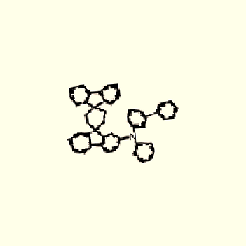 c1ccc(-c2cccc(N(c3ccccc3)c3ccc4c(c3)C3(CCC5(CC3)c3ccccc3-c3ccccc35)c3ccccc3-4)c2)cc1